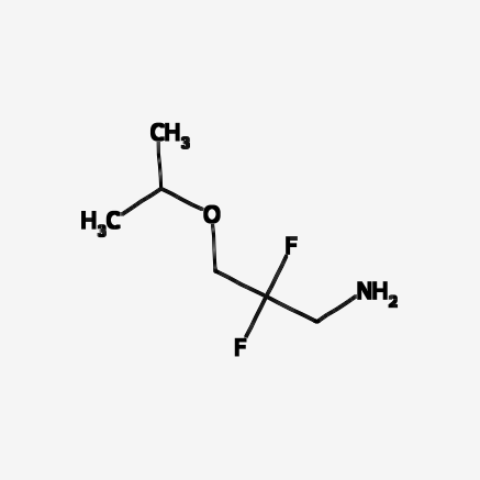 CC(C)OCC(F)(F)CN